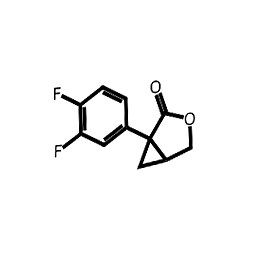 O=C1OCC2CC12c1ccc(F)c(F)c1